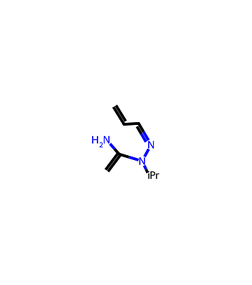 C=C/C=N\N(C(=C)N)C(C)C